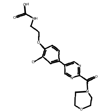 O=C(O)NCCOc1ccc(-c2cnc(C(=O)N3CCOCC3)nc2)cc1Cl